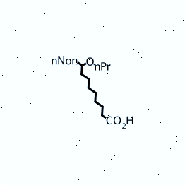 CCCCCCCCCC(CCCCCCCC(=O)O)OCCC